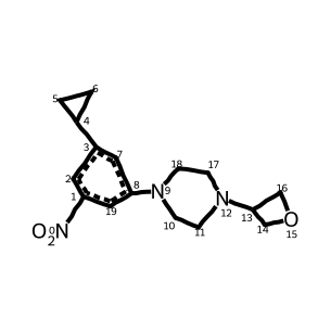 O=[N+]([O-])c1cc(C2CC2)cc(N2CCN(C3COC3)CC2)c1